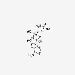 N#CC1(c2ccc3c(N)ncnn23)O[C@H](COP(N)(N)=O)[C@@H](O)[C@H]1O